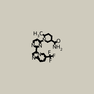 CC1CCC(C(N)=O)CN1c1ccnc(-c2cnc3ccc(C(F)(F)F)cn23)n1